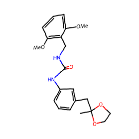 COc1cccc(OC)c1CNC(=O)Nc1cccc(CC2(C)OCCO2)c1